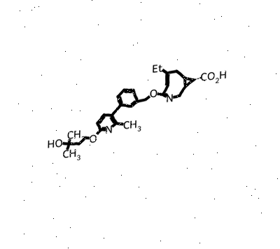 CC/C1=C\C(OCc2cccc(-c3ccc(OCCC(C)(C)O)nc3C)c2)=N/CC2C(C1)[C@@H]2C(=O)O